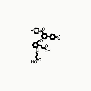 CN1CCN(C(=O)c2cc(OCc3cccc(OCCCC(=O)O)c3CCC(=O)O)cc(-c3ccc(N(C)C)cc3)c2)CC1